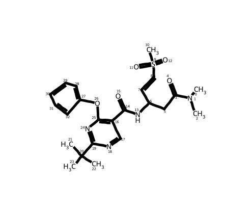 CN(C)C(=O)CC(C=CS(C)(=O)=O)NC(=O)c1cnc(C(C)(C)C)nc1Oc1ccccc1